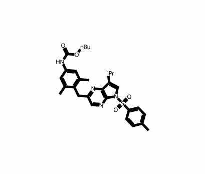 CCCCOC(=O)Nc1cc(C)c(Cc2cnc3c(n2)c(C(C)C)cn3S(=O)(=O)c2ccc(C)cc2)c(C)c1